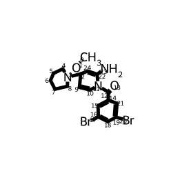 COC1(N2CCCCC2)C=CN(C(=O)c2cc(Br)cc(Br)c2)C(N)=C1